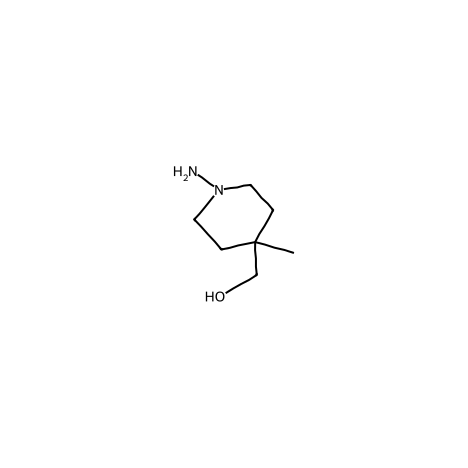 CC1(CO)CCN(N)CC1